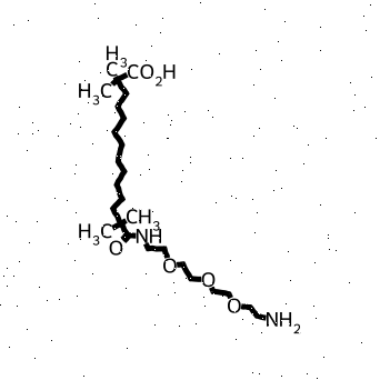 CC(C)(CCCCCCCCCCC(C)(C)C(=O)NCCOCCOCCOCCN)C(=O)O